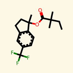 CCC(C)(C)C(=O)OC1(C)CCc2cc(C(F)(F)F)ccc21